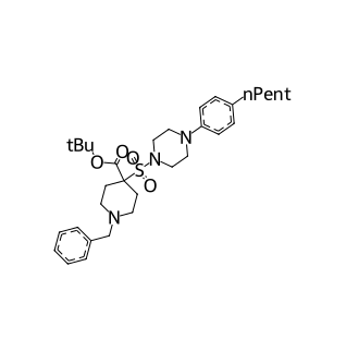 CCCCCc1ccc(N2CCN(S(=O)(=O)C3(C(=O)OC(C)(C)C)CCN(Cc4ccccc4)CC3)CC2)cc1